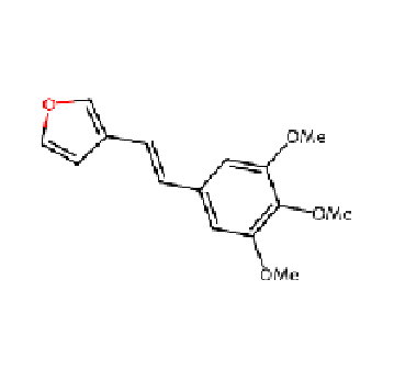 COc1cc(/C=C/c2ccoc2)cc(OC)c1OC